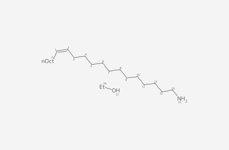 CCCCCCCC/C=C\CCCCCCCCCCCCN.CCO